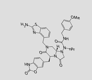 CCCN(C(=O)NCc1ccc(OC)cc1)N1CC(=O)N2[C@@H](Cc3ccc4[nH]c(=O)oc4c3)C(=O)N(Cc3cccc4sc(N)nc34)C[C@@H]21